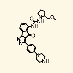 COC[C@@H]1CCCN1NC(=O)Nc1cccc2c1C(=O)C1=C(c3ccc(N4CCNCC4)cc3)N=NC12